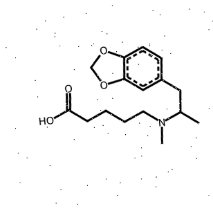 CC(Cc1ccc2c(c1)OCO2)N(C)CCCCC(=O)O